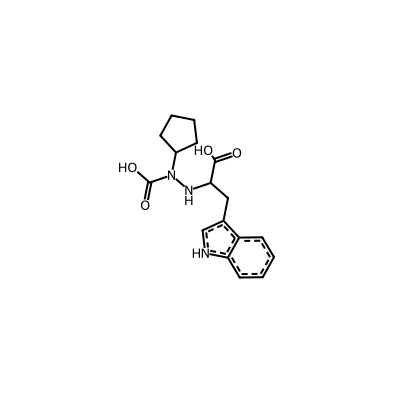 O=C(O)C(Cc1c[nH]c2ccccc12)NN(C(=O)O)C1CCCC1